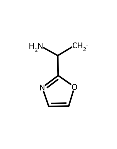 [CH2]C(N)c1ncco1